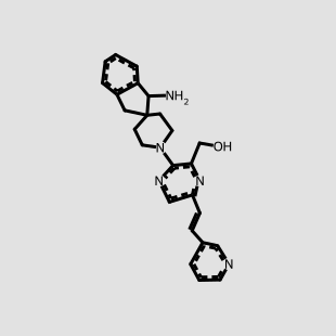 NC1c2ccccc2CC12CCN(c1ncc(C=Cc3cccnc3)nc1CO)CC2